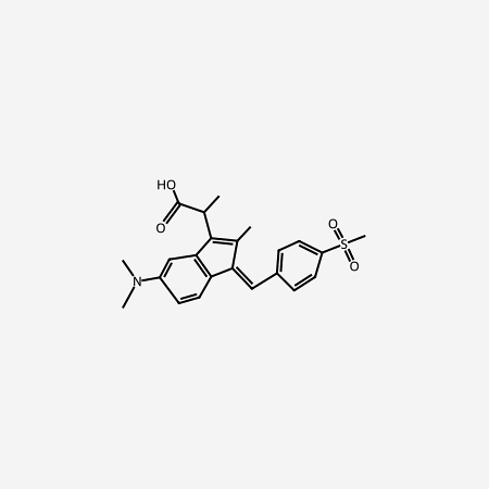 CC1=C(C(C)C(=O)O)c2cc(N(C)C)ccc2C1=Cc1ccc(S(C)(=O)=O)cc1